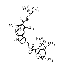 CCN(CC)CCNC(=O)c1c(C)[nH]c(/C=C2\C(=O)Nc3ccc(/C=N/S(=O)(=O)c4cc5c(s4)S(=O)(=O)[C@@H](C)C[C@@H]5N(CC)C(=O)OC)cc32)c1C